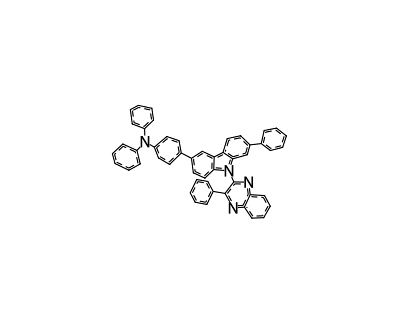 c1ccc(-c2ccc3c4cc(-c5ccc(N(c6ccccc6)c6ccccc6)cc5)ccc4n(-c4nc5ccccc5nc4-c4ccccc4)c3c2)cc1